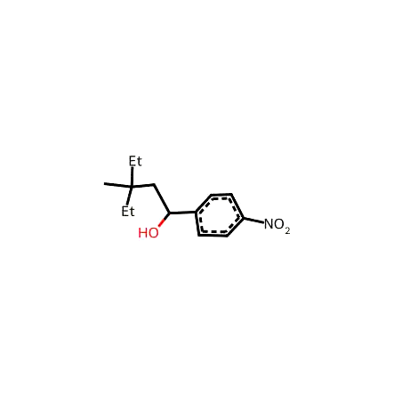 CCC(C)(CC)CC(O)c1ccc([N+](=O)[O-])cc1